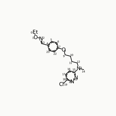 CCON=Cc1ccc(OCCCCN(C)c2ccc(Cl)nn2)cc1